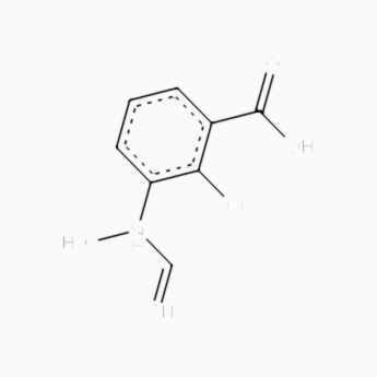 C=C[SiH](C)c1cccc(C(=O)O)c1O